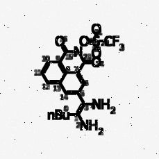 CCCC/C(N)=C(/N)c1cc2c3c(cccc3c1)C(=O)N(OS(=O)(=O)C(F)(F)F)C2=O